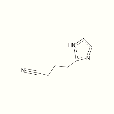 N#CCCCc1ncc[nH]1